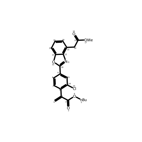 C=C(C(=O)OCCCC)c1ccc(-c2nc3c(CC(=O)OC)cccc3o2)cc1Cl